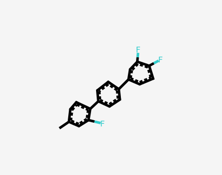 Cc1ccc(-c2ccc(-c3ccc(F)c(F)c3)cc2)c(F)c1